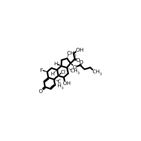 CCCC(=O)O[C@]1(C(=O)CO)[C@@H](C)C[C@H]2[C@@H]3C[C@H](F)C4=CC(=O)C=C[C@]4(C)[C@@]3(Cl)C(O)C[C@@]21C